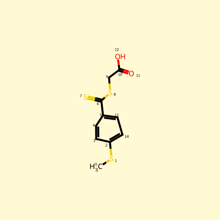 CSc1ccc(C(=S)SCC(=O)O)cc1